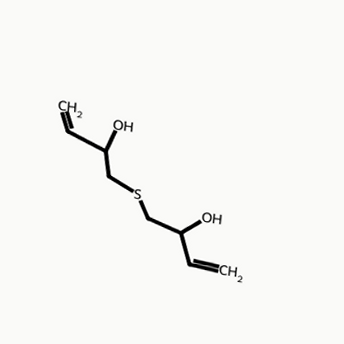 C=CC(O)CSCC(O)C=C